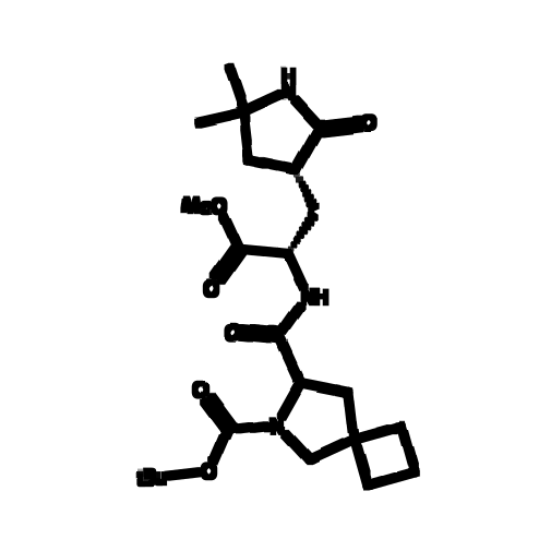 COC(=O)[C@H](C[C@@H]1CC(C)(C)NC1=O)NC(=O)C1CC2(CCC2)CN1C(=O)OC(C)(C)C